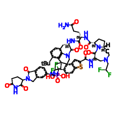 CC(C)(C)c1ccc(C[C@H](NC(=O)[C@H](CCC(N)=O)NC(=O)[C@@H]2CC[C@@H]3CCN(CC(F)F)C[C@H](NC(=O)c4cc5cc(C(F)(F)P(=O)(O)O)ccc5s4)C(=O)N32)C(=O)N2CCC3(CC2)CC(Nc2ccc4c(c2)CN(C2CCC(=O)NC2=O)C4=O)C3)cc1